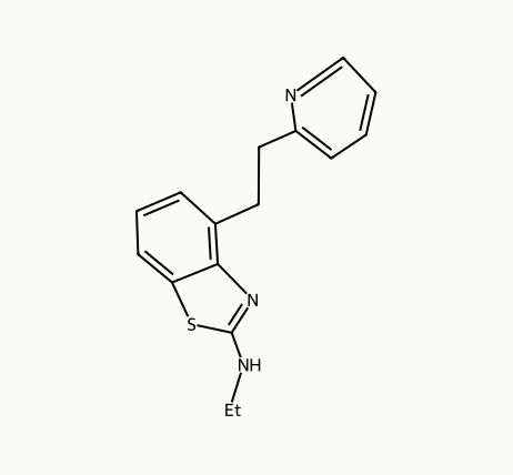 CCNc1nc2c(CCc3ccccn3)cccc2s1